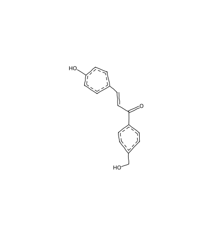 O=C(/C=C/c1ccc(O)cc1)c1ccc(CO)cc1